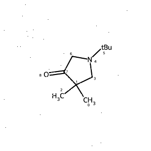 CC1(C)CN(C(C)(C)C)CC1=O